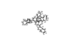 c1ccc2cc(-c3cc4c5ccccc5c5c6ccccc6n(-c6ccc(-c7nc8ccccc8o7)cc6)c5c4c4ccccc34)ccc2c1